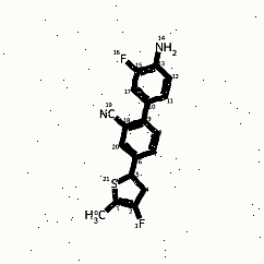 CC1=C(F)CC(c2ccc(-c3ccc(N)c(F)c3)c(C#N)c2)S1